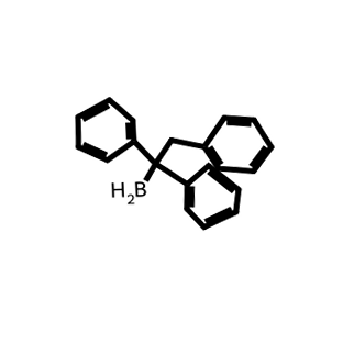 BC(Cc1ccccc1)(c1ccccc1)c1ccccc1